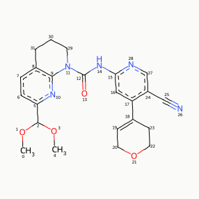 COC(OC)c1ccc2c(n1)N(C(=O)Nc1cc(C3=CCOCC3)c(C#N)cn1)CCC2